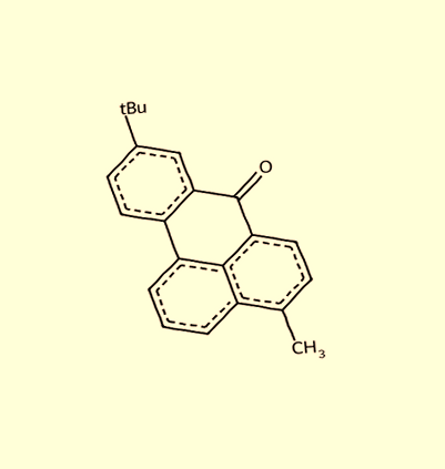 Cc1ccc2c3c(cccc13)-c1ccc(C(C)(C)C)cc1C2=O